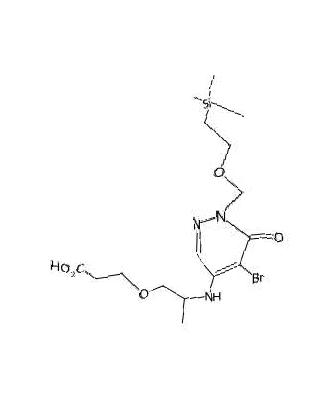 CC(COCCC(=O)O)Nc1cnn(COCC[Si](C)(C)C)c(=O)c1Br